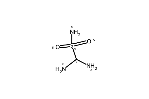 NC(N)S(N)(=O)=O